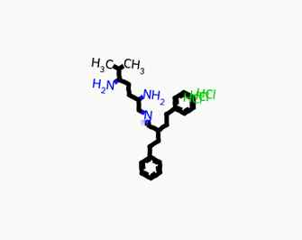 CC(C)C(N)CCC(N)C/N=C/C(CCc1ccccc1)CCc1ccccc1.Cl.Cl.Cl